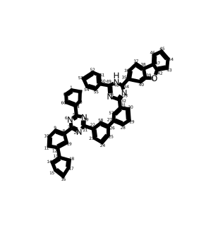 C1=CCCC(c2nc(-c3cccc(-c4ccccc4)c3)nc(-c3cccc(-c4cccc(C5=NC(c6ccc7c(c6)oc6ccccc67)NC(c6ccccc6)=N5)c4)c3)n2)=C1